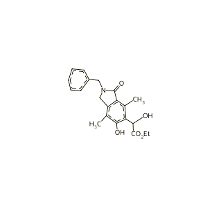 CCOC(=O)C(O)c1c(C)c2c(c(C)c1O)CN(Cc1ccccc1)C2=O